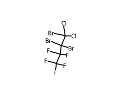 FC(F)(F)C(F)(F)C(Br)(Br)C(Cl)(Cl)Br